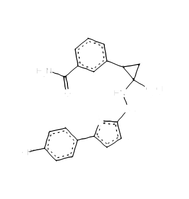 NC(=O)c1cccc(C2CC2(NSc2ccc(-c3ccc(Cl)cc3)s2)C(=O)O)c1